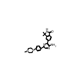 CN1CCN(c2ccc(-c3cnc(N)c(-c4ccc5c(c4)C(C)(C)NC5=O)n3)cc2)CC1